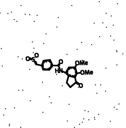 COc1cc(NC(=O)c2ccc(C=S(=O)=O)cc2)c2c(c1OC)C(=O)CC2